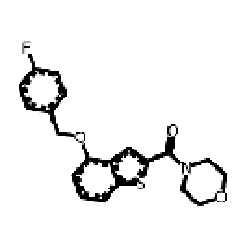 O=C(c1cc2c(OCc3ccc(F)cc3)cccc2s1)N1CCOCC1